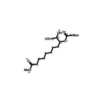 CCCCCCCCCC(=O)OC(CCCCCCCC(=O)OC)C(O)CCCCCCCC